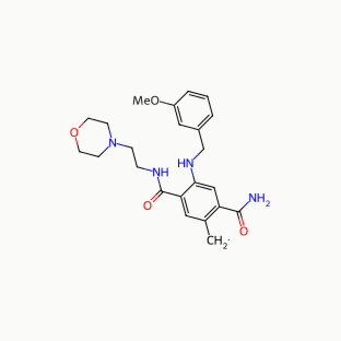 [CH2]c1cc(C(=O)NCCN2CCOCC2)c(NCc2cccc(OC)c2)cc1C(N)=O